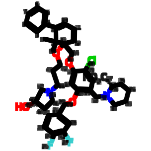 CC1(C)C(c2ccccc2)=CC=CC1(COc1cc(OCc2ccc(F)c(F)c2)c(CN2CCCC[C@H]2C(=O)O)cc1Cl)OCCCN1CC[C@@H](O)C1